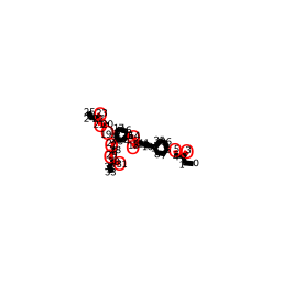 C=CC(=O)COc1ccc(C#CC(=O)Oc2ccc(OCOC(=O)C=C)c(OCOC(=O)C=C)c2)cc1